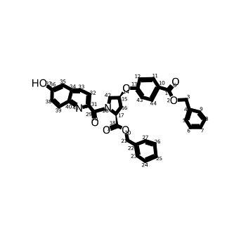 O=C(OCc1ccccc1)c1ccc(O[C@H]2C[C@@H](C(=O)OCc3ccccc3)N(C(=O)c3ccc4cc(O)ccc4n3)C2)cc1